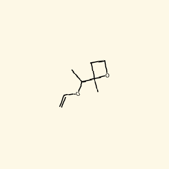 C=COC(C)C1(C)CCO1